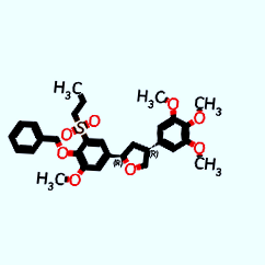 CCCS(=O)(=O)c1cc([C@H]2C[C@H](c3cc(OC)c(OC)c(OC)c3)CO2)cc(OC)c1OCc1ccccc1